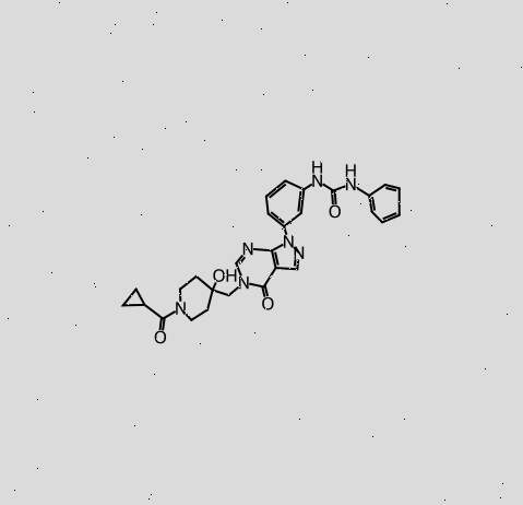 O=C(Nc1ccccc1)Nc1cccc(-n2ncc3c(=O)n(CC4(O)CCN(C(=O)C5CC5)CC4)cnc32)c1